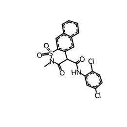 CN1C(=O)C(C(=O)Nc2cc(Cl)ccc2Cl)c2cc3ccccc3cc2S1(=O)=O